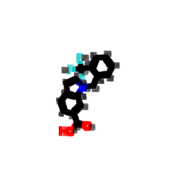 O=C(O)c1ccc2ccn(Cc3ccccc3C(F)(F)F)c2c1